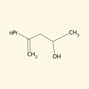 C=C(CCC)CC(C)O